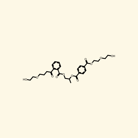 CC(COC(=O)c1ccccc1C(=O)CCCOCCO)OC(=O)c1ccc(C(=O)OCCOCCO)cc1